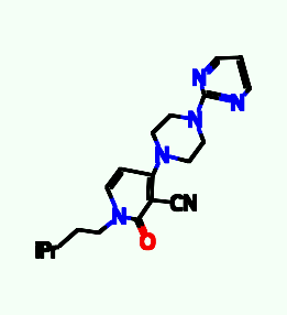 CC(C)CCn1ccc(N2CCN(c3ncccn3)CC2)c(C#N)c1=O